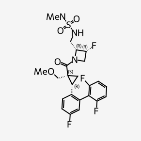 CNS(=O)(=O)NC[C@@H]1[C@H](F)CN1C(=O)[C@@]1(COC)C[C@@H]1c1ccc(F)cc1-c1c(F)cccc1F